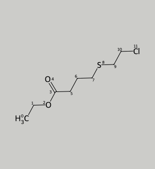 CCOC(=O)CCCSCCCl